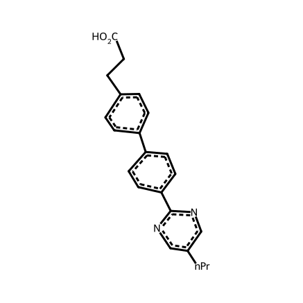 CCCc1cnc(-c2ccc(-c3ccc(CCC(=O)O)cc3)cc2)nc1